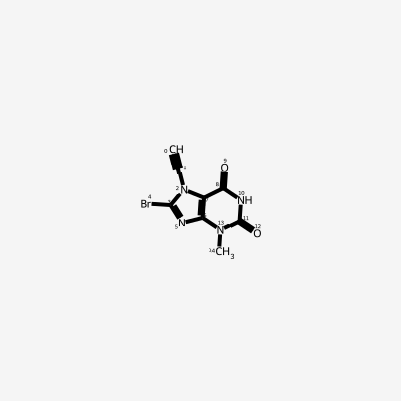 C#Cn1c(Br)nc2c1c(=O)[nH]c(=O)n2C